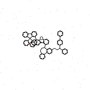 c1ccc(-c2ccc(C(CCc3ccc4c(c3)C(c3cccc5oc6c(-c7cccc8c7C(c7ccccc7)(c7ccccc7)c7ccccc7-8)c7ccccc7cc6c35)CCc3ccccc3-4)c3ccccc3)cc2)cc1